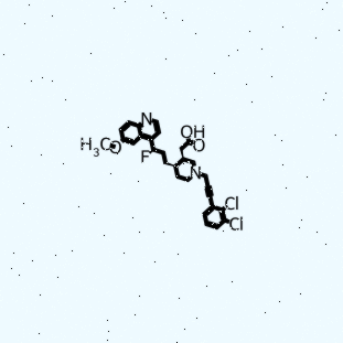 COc1ccc2nccc([C@H](F)CC[C@@H]3CCN(CC#Cc4cccc(Cl)c4Cl)C[C@@H]3CC(=O)O)c2c1